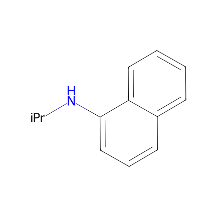 CC(C)Nc1cccc2ccccc12